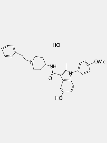 COc1ccc(-n2c(C)c(C(=O)NC3CCN(CCc4ccccc4)CC3)c3cc(O)ccc32)cc1.Cl